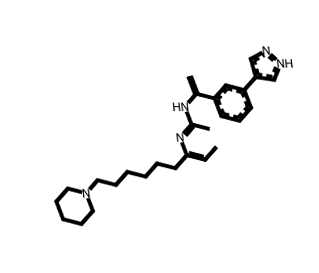 C=C(N/C(C)=N/C(=C\C)CCCCCCN1CCCCC1)c1cccc(-c2cn[nH]c2)c1